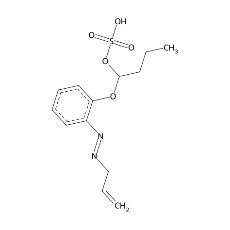 C=CCN=Nc1ccccc1OC(CCC)OS(=O)(=O)O